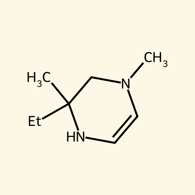 CCC1(C)CN(C)C=CN1